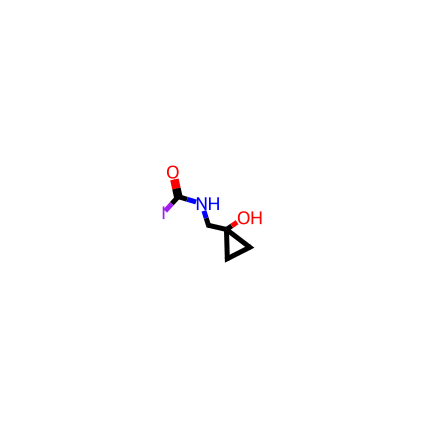 O=C(I)NCC1(O)CC1